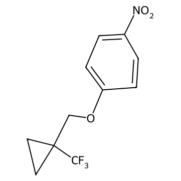 O=[N+]([O-])c1ccc(OCC2(C(F)(F)F)CC2)cc1